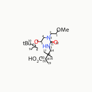 COCCN(CCO[Si](C)(C)C(C)(C)C)C(=O)NCC(C)(C)[C@H](C)C(=O)O